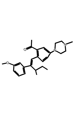 CCC(C)/C(=C\c1ccc(N2CCN(C)CC2)cc1C(C)=O)c1cccc(OC)c1